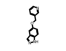 c1cncc(COc2ccc3[nH]ncc3c2)c1